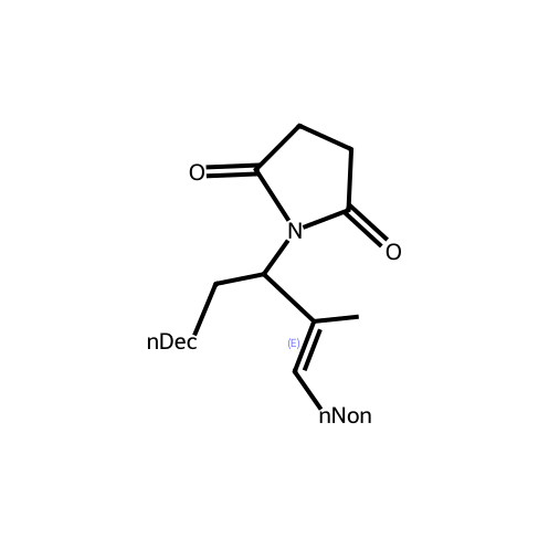 CCCCCCCCC/C=C(\C)C(CCCCCCCCCCC)N1C(=O)CCC1=O